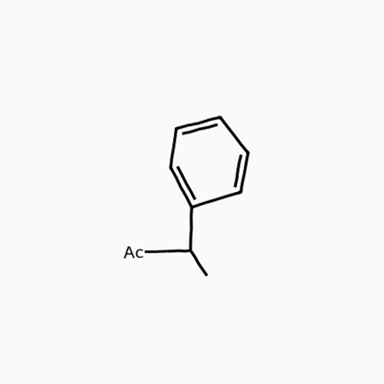 CC(=O)C(C)c1ccccc1